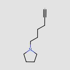 [C]#CCCCCN1CCCC1